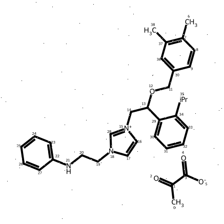 CC(=O)C(=O)[O-].Cc1ccc(COC(C[n+]2ccn(CCNc3ccccc3)c2)c2ccccc2C(C)C)cc1C